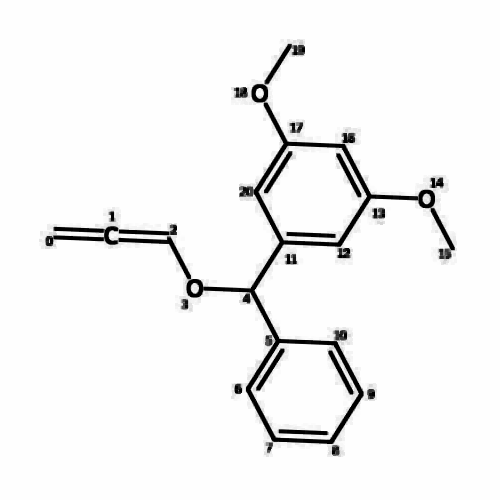 C=C=COC(c1ccccc1)c1cc(OC)cc(OC)c1